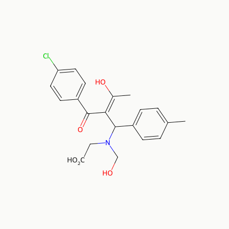 C/C(O)=C(/C(=O)c1ccc(Cl)cc1)C(c1ccc(C)cc1)N(CO)CC(=O)O